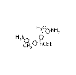 CCCCCCCCC(c1ccc(Cc2ccc(N)cc2C)cc1)c1ccc(Cc2ccc(N)cc2C)cc1